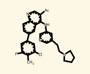 CC(=O)c1cnc2ccc(-c3cc(F)c(C)c(Cl)c3)cc2c1Nc1cncc(CCN2CCCC2)c1